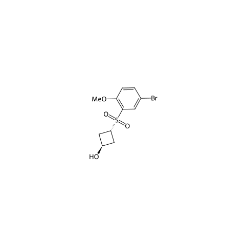 COc1ccc(Br)cc1S(=O)(=O)[C@H]1C[C@H](O)C1